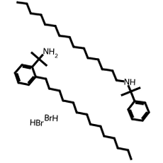 Br.Br.CCCCCCCCCCCCCCCNC(C)(C)c1ccccc1.CCCCCCCCCCCCCCc1ccccc1C(C)(C)N